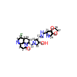 O=c1ccc2ncc(F)c3c2n1[C@@H](CN1C[C@H](CNCc2cc4c(cn2)OCCO4)[C@H](O)C1)CC3